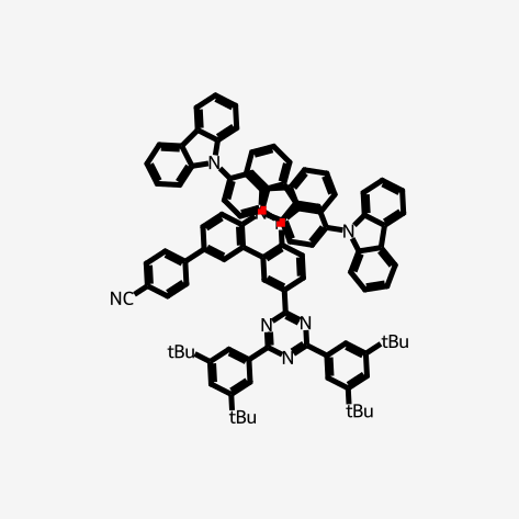 CC(C)(C)c1cc(-c2nc(-c3cc(C(C)(C)C)cc(C(C)(C)C)c3)nc(-c3ccc(-n4c5ccccc5c5cc(-n6c7ccccc7c7ccccc76)ccc54)c(-c4cc(-c5ccc(C#N)cc5)ccc4-n4c5ccccc5c5cc(-n6c7ccccc7c7ccccc76)ccc54)c3)n2)cc(C(C)(C)C)c1